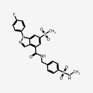 CNS(=O)(=O)c1ccc(CNC(=O)c2cc(S(C)(=O)=O)cc3c2cnn3-c2ccc(F)cc2)cc1